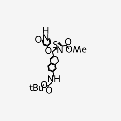 COC(=O)c1csc(C(Oc2cc[nH]c(=O)c2)C2=Cc3ccc(CNCC(=O)OC(C)(C)C)cc3CC2)n1